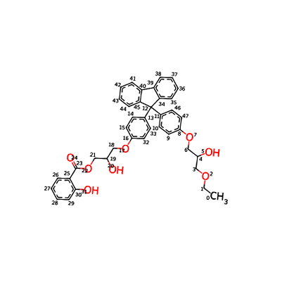 CCOCC(O)COc1ccc(C2(c3ccc(OCC(O)COC(=O)c4ccccc4O)cc3)c3ccccc3-c3ccccc32)cc1